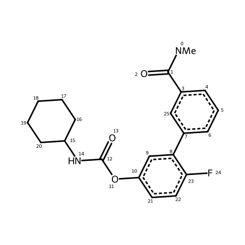 CNC(=O)c1cccc(-c2cc(OC(=O)NC3CCCCC3)ccc2F)c1